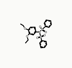 CCOc1ccc(N(S(=O)(=O)c2ccccc2)S(=O)(=O)c2ccccc2)cc1OCC